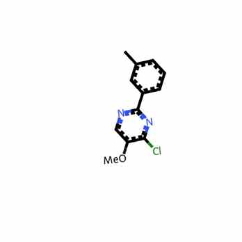 COc1cnc(-c2cccc(C)c2)nc1Cl